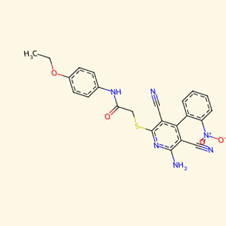 CCOc1ccc(NC(=O)CSc2nc(N)c(C#N)c(-c3ccccc3[N+](=O)[O-])c2C#N)cc1